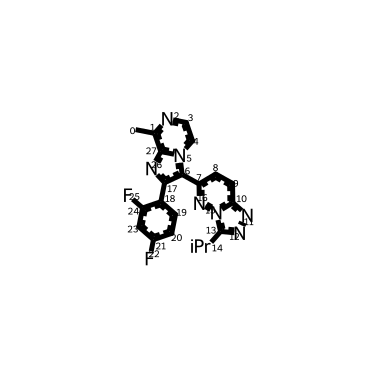 Cc1nccn2c(-c3ccc4nnc(C(C)C)n4n3)c(-c3ccc(F)cc3F)nc12